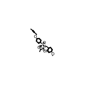 CC#CCOc1ccc(S(=O)(=O)N(Cc2ccc(OC)cc2)N(O)C(C)=O)cc1